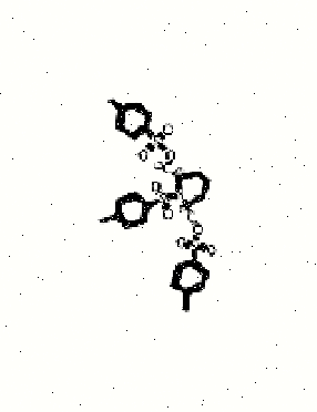 Cc1ccc(S(=O)(=O)OC[C@@H]2CCC[C@H]([13CH2]OS(=O)(=O)c3ccc(C)cc3)N2S(=O)(=O)c2ccc(C)cc2)cc1